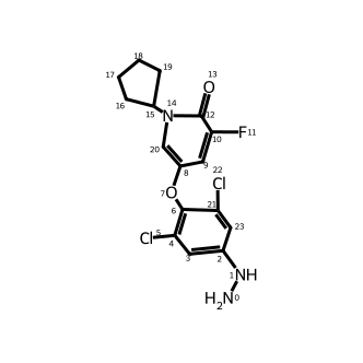 NNc1cc(Cl)c(Oc2cc(F)c(=O)n(C3CCCC3)c2)c(Cl)c1